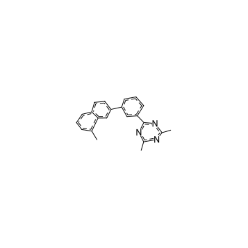 Cc1nc(C)nc(-c2cccc(-c3ccc4cccc(C)c4c3)c2)n1